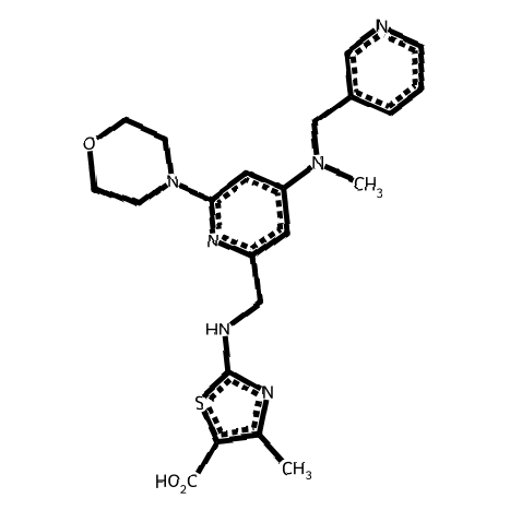 Cc1nc(NCc2cc(N(C)Cc3cccnc3)cc(N3CCOCC3)n2)sc1C(=O)O